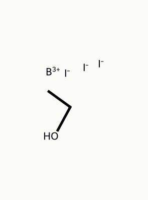 CCO.[B+3].[I-].[I-].[I-]